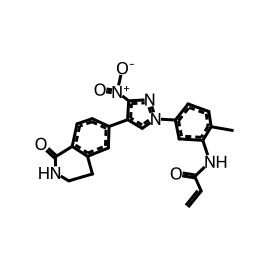 C=CC(=O)Nc1cc(-n2cc(-c3ccc4c(c3)CCNC4=O)c([N+](=O)[O-])n2)ccc1C